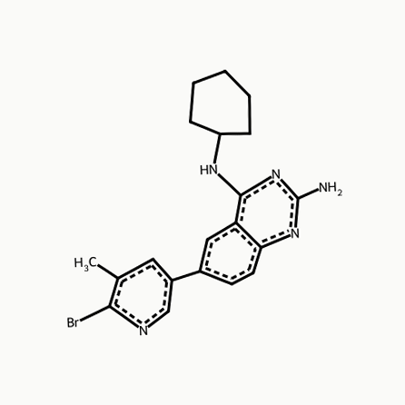 Cc1cc(-c2ccc3nc(N)nc(NC4CCCCC4)c3c2)cnc1Br